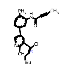 CC#CC(=O)Nc1cc(-c2cnc(C)c(/C(Cl)=C\CC(C)CC)c2)ccc1P